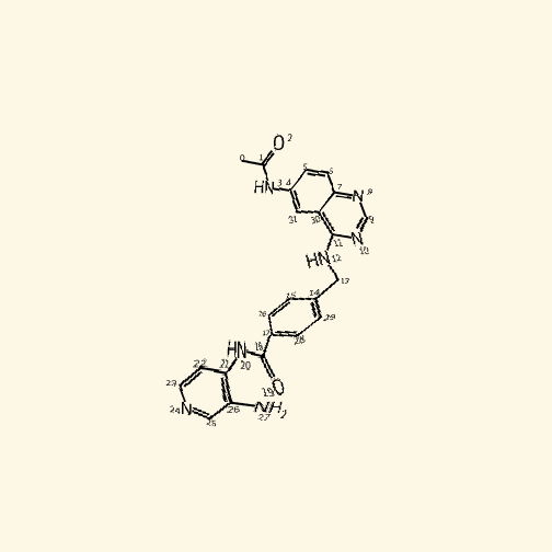 CC(=O)Nc1ccc2ncnc(NCc3ccc(C(=O)Nc4ccncc4N)cc3)c2c1